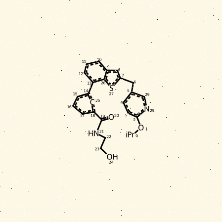 CC(C)Oc1ccc(Cc2cc3cccc(-c4cccc(C(=O)NCCO)c4)c3s2)cn1